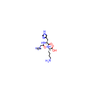 NCCCC[C@H](NC(=O)[C@H](Cc1c[nH]cn1)NC(=O)CN)C(=O)O.[Mn]